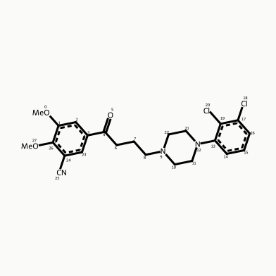 COc1cc(C(=O)CCCN2CCN(c3cccc(Cl)c3Cl)CC2)cc(C#N)c1OC